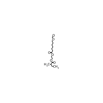 CCC(C)C(=O)OCCOC(=O)CCCCCCOC=O